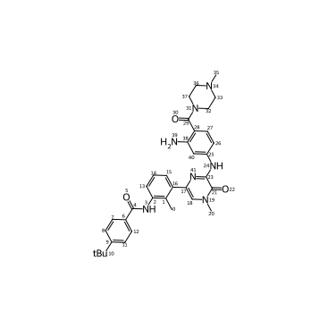 Cc1c(NC(=O)c2ccc(C(C)(C)C)cc2)cccc1-c1cn(C)c(=O)c(Nc2ccc(C(=O)N3CCN(C)CC3)c(N)c2)n1